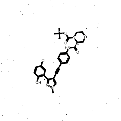 Cn1cc(C#Cc2ccc(NC(=O)[C@@H]3COCCN3C(=O)OC(C)(C)C)cc2)c(-c2cc(Cl)ccc2O)n1